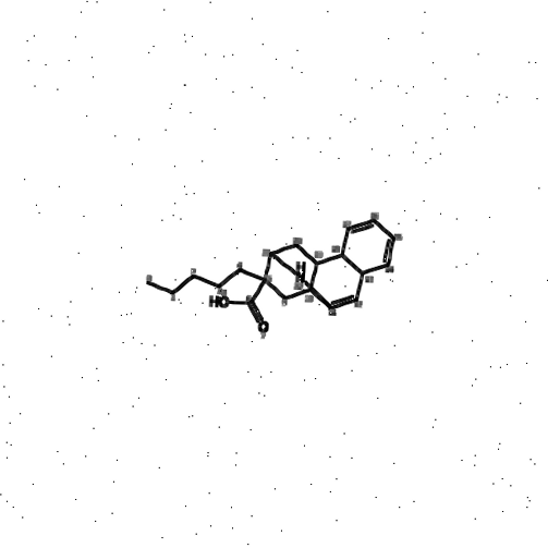 CCCCCC1(C(=O)O)CC2C3=CC4C=CC=CC4C2CC1N3